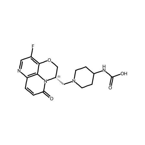 O=C(O)NC1CCN(C[C@H]2COc3c(F)cnc4ccc(=O)n2c34)CC1